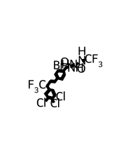 O=C(NCC(F)(F)F)NNC(=O)c1ccc(/C=C/C(c2cc(Cl)c(Cl)c(Cl)c2)C(F)(F)F)cc1Br